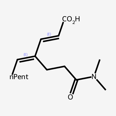 CCCCC/C=C(/C=C/C(=O)O)CCC(=O)N(C)C